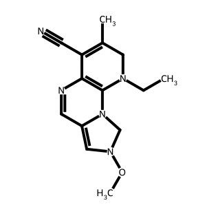 CCN1CC(C)=C(C#N)C2=C1N1CN(OC)C=C1C=N2